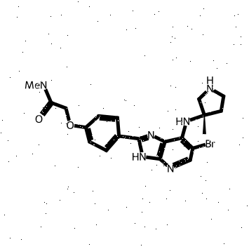 CNC(=O)COc1ccc(-c2nc3c(N[C@@]4(C)CCNC4)c(Br)cnc3[nH]2)cc1